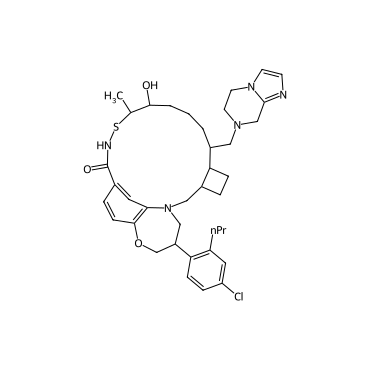 CCCc1cc(Cl)ccc1C1COc2ccc3cc2N(C1)CC1CCC1C(CN1CCn2ccnc2C1)CCCC(O)C(C)SNC3=O